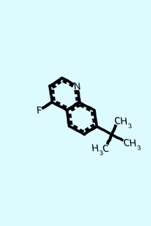 CC(C)(C)c1ccc2c(F)ccnc2c1